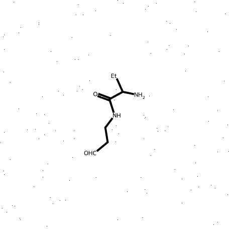 CCC(N)C(=O)NCCC=O